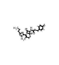 CCCc1noc(C2=C(C)CS[C@@H]3[C@H](NC(=O)CCc4ccc(F)cc4)C(=O)N23)n1